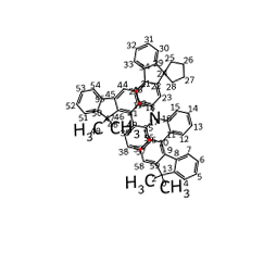 CC1(C)c2ccccc2-c2c(-c3ccccc3N(c3ccc4c(c3)C3(CCCC3)c3ccccc3-4)c3ccccc3-c3cccc4c3C(C)(C)c3ccccc3-4)cccc21